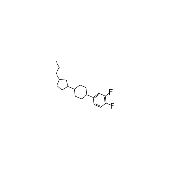 CCCC1CCC(C2CCC(c3ccc(F)c(F)c3)CC2)C1